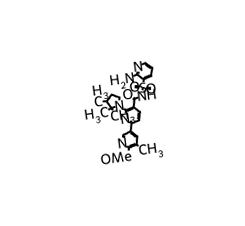 COc1ncc(-c2ccc(C(=O)NS(=O)(=O)c3cccnc3N)c(N3CCC(C)C3(C)C)n2)cc1C